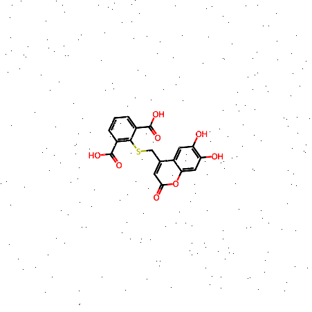 O=C(O)c1cccc(C(=O)O)c1SCc1cc(=O)oc2cc(O)c(O)cc12